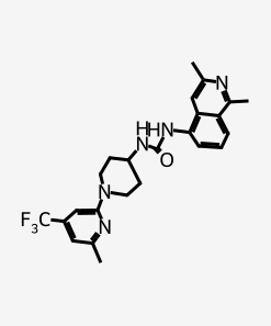 Cc1cc(C(F)(F)F)cc(N2CCC(NC(=O)Nc3cccc4c(C)nc(C)cc34)CC2)n1